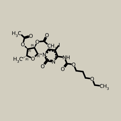 CCOCCCOC(=O)Nc1nc(=O)n([C@@H]2O[C@H](C)[C@@H](OC(C)=O)[C@H]2OC(C)=O)cc1I